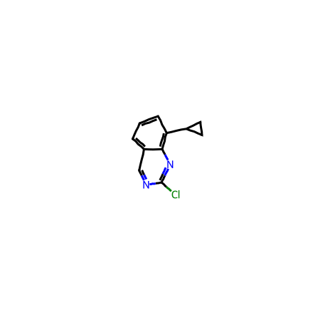 Clc1ncc2cccc(C3CC3)c2n1